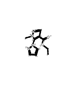 CCOC(=O)c1cnn(C)c1-n1cccn1